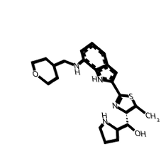 CC1SC(c2cc3cccc(NCC4CCOCC4)c3[nH]2)=N[C@H]1C(O)C1CCCN1